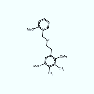 COc1ccccc1CNCCc1cc(OC)c(C)c(C)c1OC